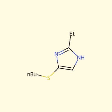 CCCCSc1[c][nH]c(CC)n1